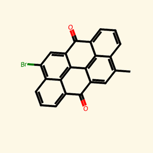 Cc1cc2c3c4c1cccc4c(=O)c1cc(Br)c4cccc(c2=O)c4c1-3